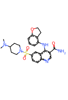 CN(C)C1CCN(S(=O)(=O)c2ccc3ncc(C(N)=O)c(Nc4cccc5c4CCO5)c3c2)CC1